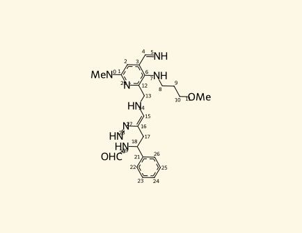 CNc1cc(C=N)c(NCCCOC)c(CN/C=C(/CC(NC=O)c2ccccc2)N=N)n1